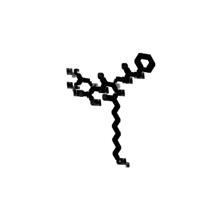 CCCCCCCCCC(=O)N[C@@H](CNC(=O)Nc1ccccc1)C(=O)N[C@@H](CC(C)C)B(O)O